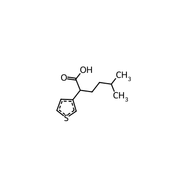 CC(C)CCC(C(=O)O)c1ccsc1